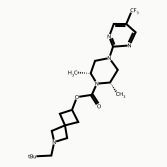 C[C@@H]1CN(c2ncc(C(F)(F)F)cn2)C[C@H](C)N1C(=O)OC1CC2(C1)CN(CC(C)(C)C)C2